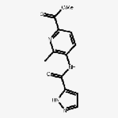 COC(=O)c1ccc(NC(=O)c2ccn[nH]2)c(C)n1